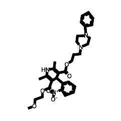 COCCOC(=O)C1=C(C)NC(C)=C(C(=O)OCCCN2CCN(c3ccccc3)CC2)C1c1ccccc1[N+](=O)[O-]